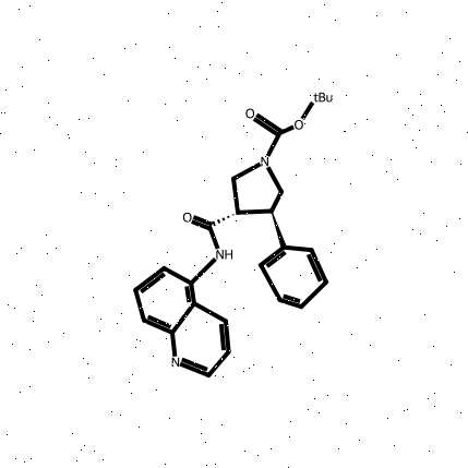 CC(C)(C)OC(=O)N1C[C@@H](C(=O)Nc2cccc3ncccc23)[C@H](c2ccccc2)C1